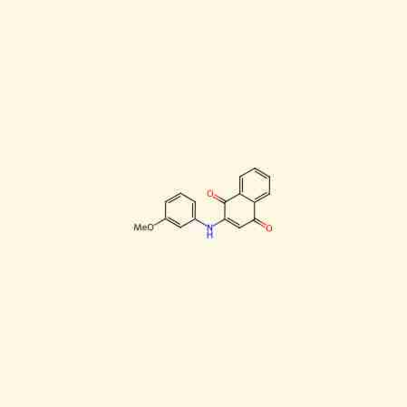 COc1cccc(NC2=CC(=O)c3ccccc3C2=O)c1